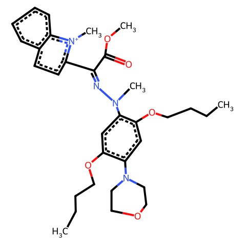 CCCCOc1cc(N(C)/N=C(\C(=O)OC)c2ccc3ccccc3[n+]2C)c(OCCCC)cc1N1CCOCC1